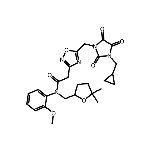 COc1ccccc1N(CC1CCC(C)(C)O1)C(=O)Cc1noc(CN2C(=O)C(=O)N(CC3CC3)C2=O)n1